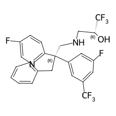 O[C@H](CNC[C@@](Cc1ccccc1)(c1cc(F)cc(C(F)(F)F)c1)c1ccc(F)cn1)C(F)(F)F